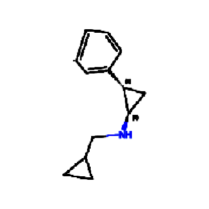 [c]1cccc([C@@H]2C[C@H]2NCC2CC2)c1